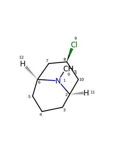 CN1[C@@H]2CCC[C@H]1C[C@@H](Cl)C2